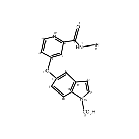 CC(C)NC(=O)c1cc(Oc2ccc3c(ccn3C(=O)O)c2)ccn1